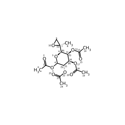 CC(=O)OC1O[C@@H]([C@]2(C)CO2)[C@@H](OC(C)=O)[C@@H](OC(C)=O)[C@@H]1OC(C)=O